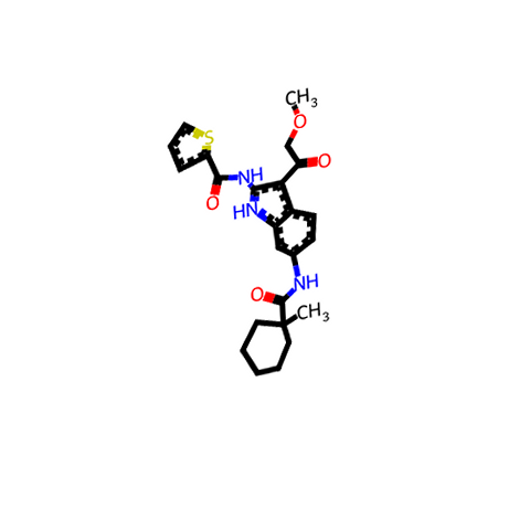 COCC(=O)c1c(NC(=O)c2cccs2)[nH]c2cc(NC(=O)C3(C)CCCCC3)ccc12